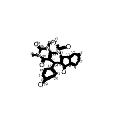 CCCC(=O)N1C2=C(C(=O)c3ccccc32)C(c2ccc(Cl)cc2)c2c1n(C)c(=O)n(C)c2=O